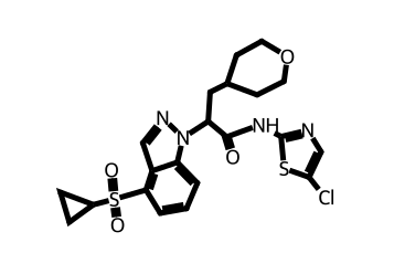 O=C(Nc1ncc(Cl)s1)C(CC1CCOCC1)n1ncc2c(S(=O)(=O)C3CC3)cccc21